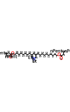 CCCCCC(CCCCC)CC(=O)OCCCCCCCCCCC(CCCCCCCCCCOC(=O)CC(CCCCC)CCCCC)CN(CC)CC